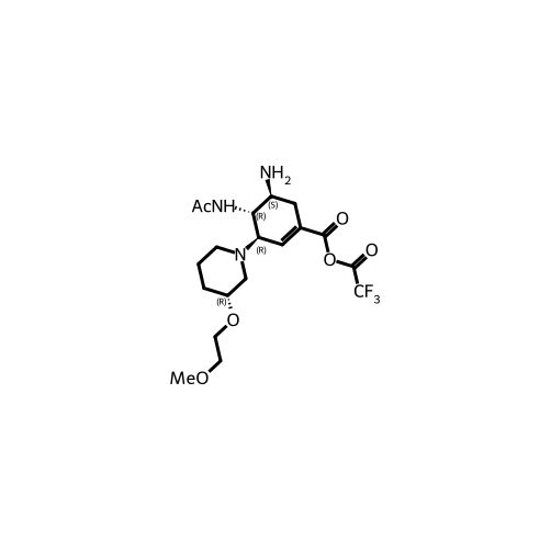 COCCO[C@@H]1CCCN([C@@H]2C=C(C(=O)OC(=O)C(F)(F)F)C[C@H](N)[C@H]2NC(C)=O)C1